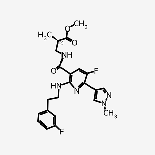 COC(=O)[C@H](C)CNC(=O)c1cc(F)c(-c2cnn(C)c2)nc1NCCc1cccc(F)c1